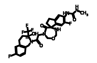 CNC(=O)Nc1cc2c(cc1F)C1(CC2)NCOCN(CC(=O)N2Cc3ccc(F)cc3CC[C@]2(O)C(F)(F)F)C1=O